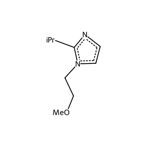 COCCn1ccnc1C(C)C